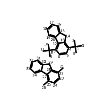 CC(C)(C)c1ccc(C(C)(C)C)c2c1Cc1ccccc1-2.Cc1ccc(C)c2c1Cc1ccccc1-2